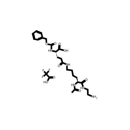 CC(=O)N[C@@H](CCCCNC(=O)CC[C@H](NC(=O)OCc1ccccc1)C(=O)O)C(=O)NCCN.O=C(O)C(F)(F)F